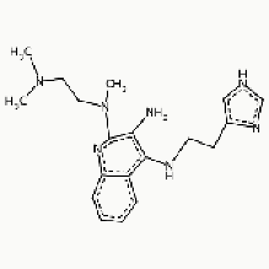 CN(C)CCN(C)c1nc2ccccc2c(NCCc2c[nH]cn2)c1N